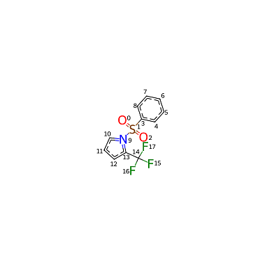 O=S(=O)(c1ccccc1)n1cccc1C(F)(F)F